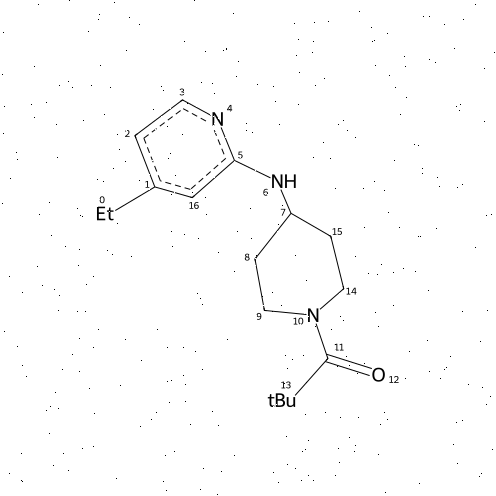 CCc1ccnc(NC2CCN(C(=O)C(C)(C)C)CC2)c1